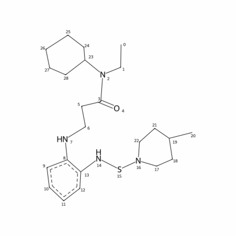 CCN(C(=O)CCNc1ccccc1NSN1CCC(C)CC1)C1CCCCC1